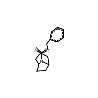 O=C(OCc1ccccc1)N1C2CCC1CC(F)(F)C2